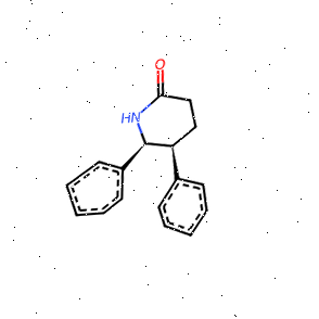 O=C1CC[C@@H](c2ccccc2)[C@@H](c2ccccc2)N1